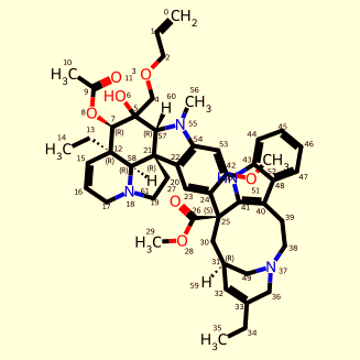 C=CCOCC1(O)[C@H](OC(C)=O)[C@]2(CC)C=CCN3CC[C@@]4(c5cc([C@@]6(C(=O)OC)C[C@@H]7C=C(CC)CN(CCc8c6[nH]c6ccccc86)C7)c(OC)cc5N(C)[C@@H]14)[C@@H]32